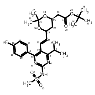 CC(C)c1nc(NS(C)(=O)=O)nc(-c2ccc(F)cc2)c1/C=C/C1C[C@H](CC(=O)OC(C)(C)C)OC(C)(C)O1